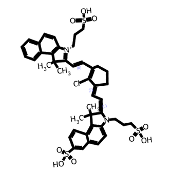 CC1(C)C(/C=C/C2=C(Cl)C(=C/C=C3/N(CCCS(=O)(=O)O)c4ccc5cc(S(=O)(=O)O)ccc5c4C3(C)C)/CCC2)=[N+](CCCS(=O)(=O)O)c2ccc3ccccc3c21